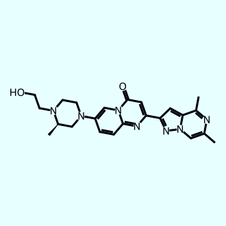 Cc1cn2nc(-c3cc(=O)n4cc(N5CCN(CCO)[C@H](C)C5)ccc4n3)cc2c(C)n1